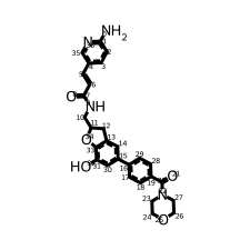 Nc1ccc(C=CC(=O)NCC2Cc3cc(-c4ccc(C(=O)N5CCOCC5)cc4)cc(O)c3O2)cn1